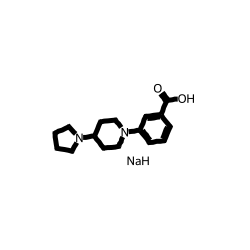 O=C(O)c1cccc(N2CCC(N3CCCC3)CC2)c1.[NaH]